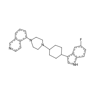 Fc1ccc2[nH]cc(C3CCC(N4CCN(c5cccc6cnccc56)CC4)CC3)c2c1